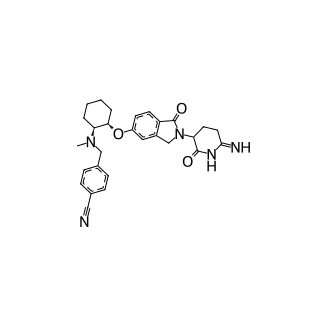 CN(Cc1ccc(C#N)cc1)[C@H]1CCCC[C@H]1Oc1ccc2c(c1)CN(C1CCC(=N)NC1=O)C2=O